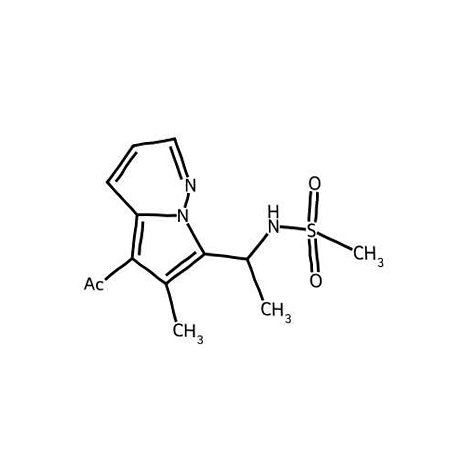 CC(=O)c1c(C)c(C(C)NS(C)(=O)=O)n2ncccc12